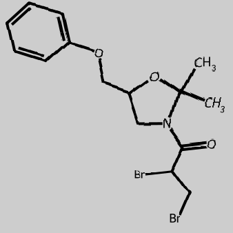 CC1(C)OC(COc2ccccc2)CN1C(=O)C(Br)CBr